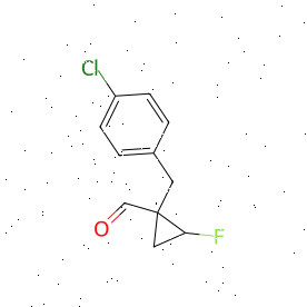 O=CC1(Cc2ccc(Cl)cc2)CC1F